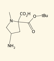 CN1CC(N)CC1(C(=O)O)C(=O)OC(C)(C)C